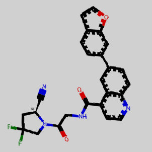 N#C[C@@H]1CC(F)(F)CN1C(=O)CNC(=O)c1ccnc2ccc(-c3ccc4ccoc4c3)cc12